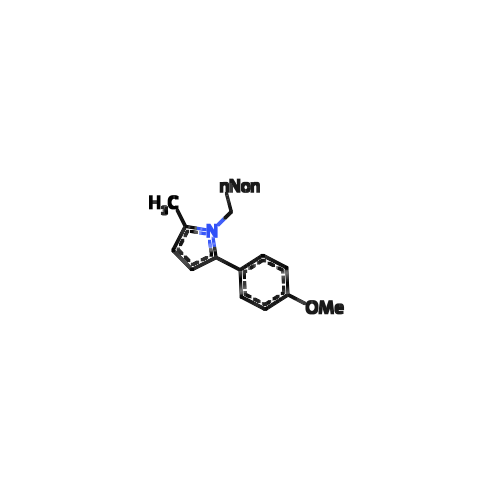 CCCCCCCCCCn1c(C)ccc1-c1ccc(OC)cc1